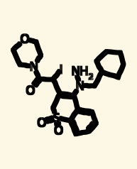 NN(CC1CCCCC1)C1=C(C(I)C(=O)N2CCOCC2)CS(=O)(=O)c2ccccc21